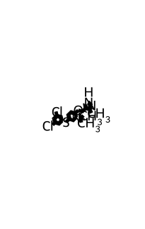 Cc1n[nH]cc1COC1=CC=C(Sc2cc(Cl)cc(Cl)c2)CN1C(C)C